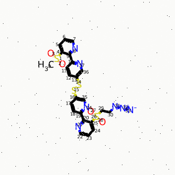 CS(=O)(=O)c1cccnc1-c1ccc(SSc2ccc(-c3ncccc3S(=O)(=O)CCN=[N+]=[N-])nc2)cn1